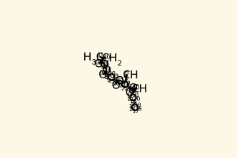 C#Cc1cc(C(=O)OC2(C#C)CCC(C3CCCCC3)CC2)ccc1OC(=O)C1CCC(C(=O)OCOC(=O)C(=C)C)CC1